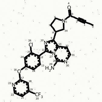 CC#CC(=O)N1CCC(c2nc(-c3ccc(Oc4cc(C(F)(F)F)ccn4)cc3Cl)n3c(N)nccc23)C1